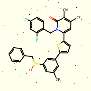 N#Cc1c(C(F)(F)F)cc(-c2ccc(-c3cc([S+]([O-])Cc4ccccc4)cc(C(F)(F)F)c3)s2)n(Cc2ccc(F)cc2F)c1=O